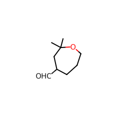 CC1(C)CC(C=O)CCCO1